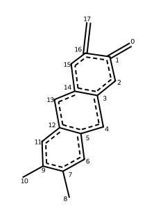 C=c1cc2cc3cc(C)c(C)cc3cc2cc1=C